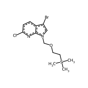 C[Si](C)(C)CCOCn1cc(Br)c2ccc(Cl)nc21